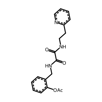 CC(=O)Oc1ccccc1CNC(=O)C(=O)NCCc1ccccn1